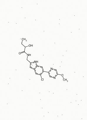 CCC(O)C(=O)NCc1cc2cc(Cl)c(-c3cnc(OC)cn3)cc2[nH]1